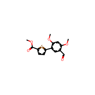 COC(=O)c1ccc(-c2cc(C=O)c(OC)cc2OC)s1